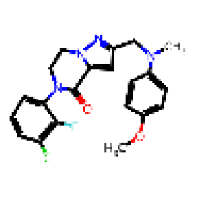 COc1ccc(N(C)Cc2cc3n(n2)CCN(c2cccc(Cl)c2F)C3=O)cc1